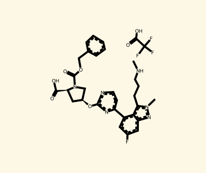 CNCCCc1c2c(-c3ccnc(O[C@H]4C[C@@H](C(=O)O)N(C(=O)OCc5ccccc5)C4)n3)cc(F)cc2nn1C.O=C(O)C(F)(F)F